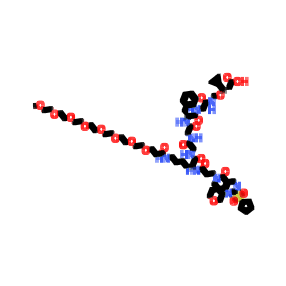 COCCOCCOCCOCCOCCOCCOCCOCCC(=O)NCCCC[C@H](NC(=O)CCN1CC2(CCOCC2)c2nc(S(=O)(=O)C3CCCC3)ncc2C1=O)C(=O)NCC(=O)NCC(=O)N[C@@H](Cc1ccccc1)C(=O)NCC(=O)NCO[C@@H](CC(=O)O)C1CC1